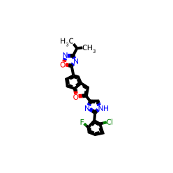 CC(C)c1noc(-c2ccc3oc(-c4c[nH]c(-c5c(F)cccc5Cl)n4)cc3c2)n1